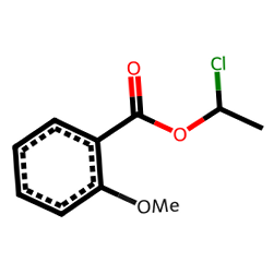 COc1ccccc1C(=O)OC(C)Cl